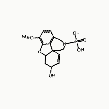 COc1ccc2c3c1OC1CC(O)C=CC31CCN(P(=O)(O)O)C2